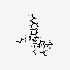 CCCCCC(=O)N[C@@H](Cc1ccc(NC(=O)O)cc1)C(=O)N[C@@H](CCCC)C(=O)N[C@@H](CC(C)C)C(=O)[C@@]1(C)CO1